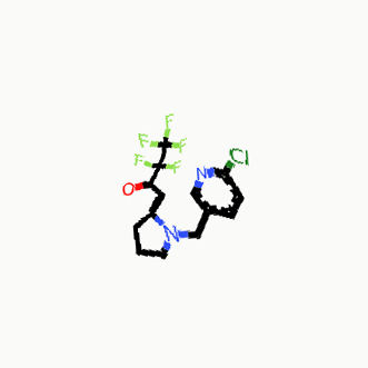 O=C(/C=C1\CCCN1Cc1ccc(Cl)nc1)C(F)(F)C(F)(F)F